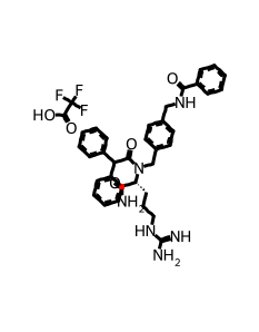 N=C(N)NCCC[C@H](C(N)=O)N(Cc1ccc(CNC(=O)c2ccccc2)cc1)C(=O)C(c1ccccc1)c1ccccc1.O=C(O)C(F)(F)F